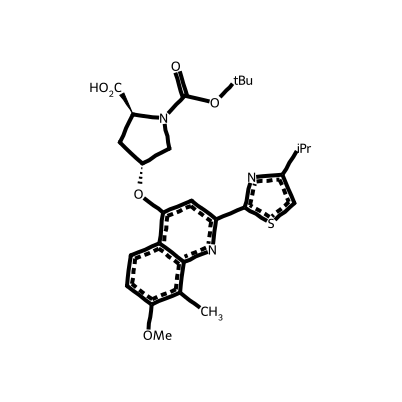 COc1ccc2c(O[C@@H]3C[C@@H](C(=O)O)N(C(=O)OC(C)(C)C)C3)cc(-c3nc(C(C)C)cs3)nc2c1C